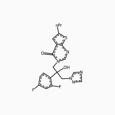 CCCc1cc2c(=O)n(CC(O)(Cn3cncn3)c3ccc(F)cc3F)cnc2s1